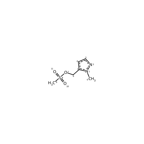 Cn1nccc1COS(C)(=O)=O